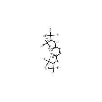 O=C(/C=C\C(=O)OC(C(F)(F)F)C(F)(F)F)OC(C(F)(F)F)C(F)(F)F